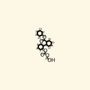 O=C(OCO)Oc1ccccc1-c1ccccc1C(=O)Oc1ccccc1